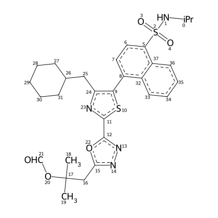 CC(C)NS(=O)(=O)c1ccc(-c2sc(-c3nnc(CC(C)(C)OC=O)o3)nc2CC2CCCCC2)c2ccccc12